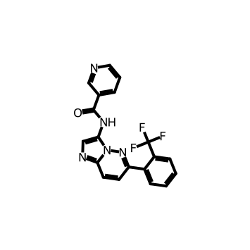 O=C(Nc1cnc2ccc(-c3ccccc3C(F)(F)F)nn12)c1cccnc1